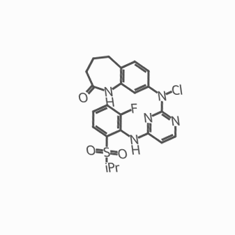 CC(C)S(=O)(=O)c1cccc(F)c1Nc1ccnc(N(Cl)c2ccc3c(c2)NC(=O)CCC3)n1